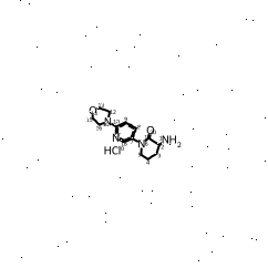 Cl.NC1CCCN(c2ccc(N3CCOCC3)nc2)C1=O